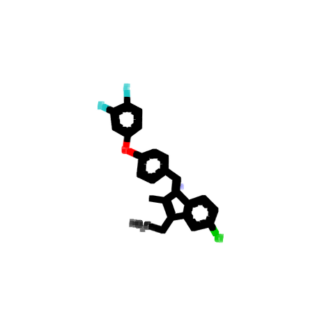 CC1=C(CC(=O)O)c2cc(Cl)ccc2/C1=C/c1ccc(Oc2ccc(F)c(F)c2)cc1